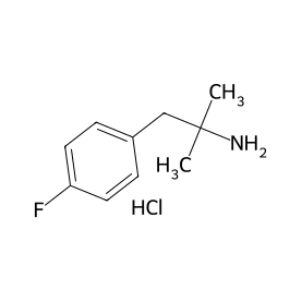 CC(C)(N)Cc1ccc(F)cc1.Cl